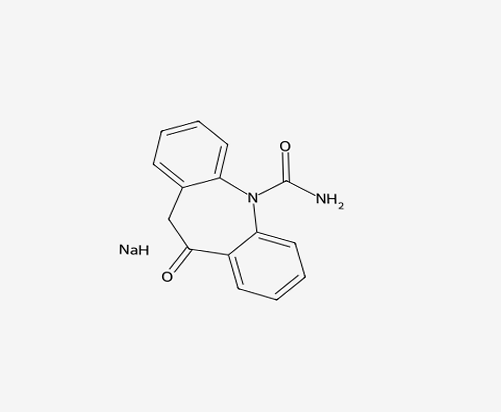 NC(=O)N1c2ccccc2CC(=O)c2ccccc21.[NaH]